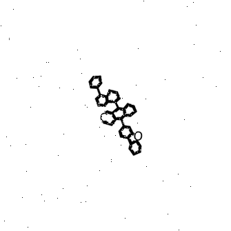 c1ccc(-c2cccc3c(-c4c5ccccc5c(-c5ccc6c(c5)oc5ccccc56)c5ccccc45)cccc23)cc1